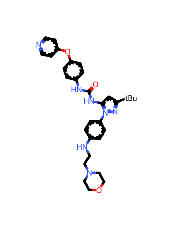 CC(C)(C)c1cc(NC(=O)Nc2ccc(Oc3ccncc3)cc2)n(-c2ccc(NCCN3CCOCC3)cc2)n1